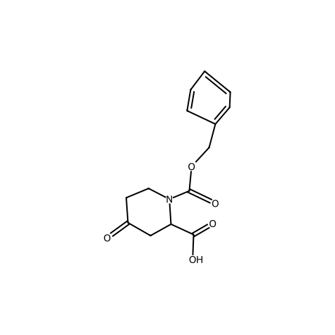 O=C1CCN(C(=O)OCc2ccccc2)C(C(=O)O)C1